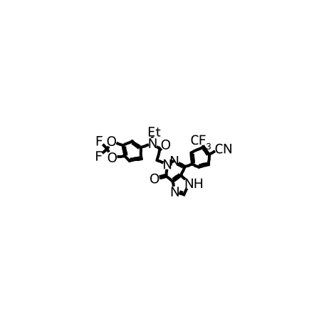 CCN(C(=O)Cn1nc(-c2ccc(C#N)c(C(F)(F)F)c2)c2[nH]cnc2c1=O)c1ccc2c(c1)OC(F)(F)O2